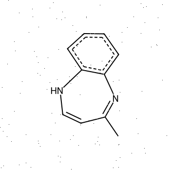 CC1=Nc2ccccc2NC=C1